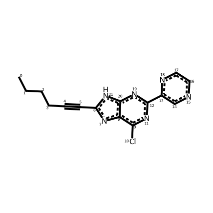 CCCCC#Cc1nc2c(Cl)nc(-c3cnccn3)nc2[nH]1